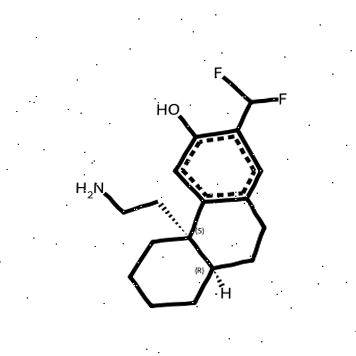 NCC[C@@]12CCCC[C@@H]1CCc1cc(C(F)F)c(O)cc12